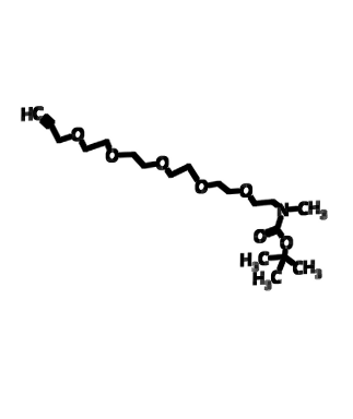 C#CCOCCOCCOCCOCCOCCN(C)C(=O)OC(C)(C)C